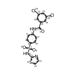 O=C(Nc1ccc(S(=O)(=O)Nc2nccs2)cc1)c1cc(Cl)cc(Cl)c1